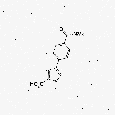 CNC(=O)c1ccc(-c2csc(C(=O)O)c2)cc1